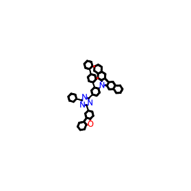 c1ccc(-c2ccc(-c3cc(-c4nc(-c5ccccc5)nc(-c5ccc6oc7ccccc7c6c5)n4)ccc3-n3c4cc5ccccc5cc4c4cc5ccccc5cc43)cc2)cc1